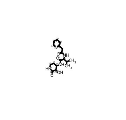 CC(C)C(NC(=O)Cc1ccccn1)C(=O)NC1CCNC(=O)C1O